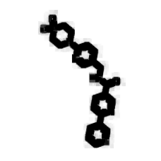 O=C(NCc1ccc(N2CCS(=O)(=O)CC2)nc1)c1ccc(-c2cccnc2)nc1